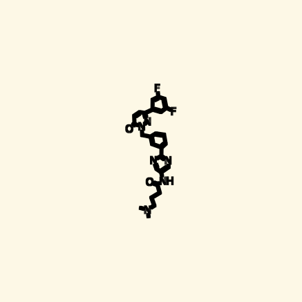 CN(C)CCCC(=O)Nc1cnc(-c2cccc(Cn3nc(-c4cc(F)cc(F)c4)ccc3=O)c2)nc1